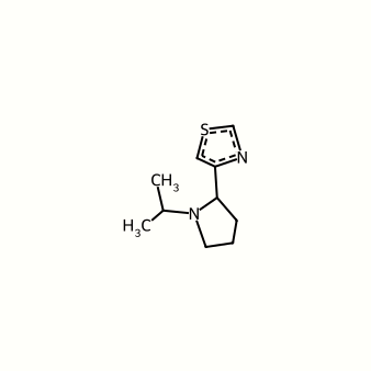 CC(C)N1CCCC1c1cscn1